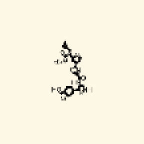 CC(C)(C)OC(=O)N(CC1CC1)c1cc(-c2nc(C(=O)Nc3c[nH]nc3-c3ccc(CO)c(C#N)c3)co2)ccn1